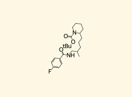 CC(CCCC1CCCCN1C(=O)OC(C)(C)C)CNC(=O)c1ccc(F)cc1